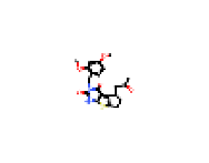 COc1ccc(Cn2c(=O)[nH]c3sc4c(c3c2=O)C(CC(C)=O)CC4)c(OC)c1